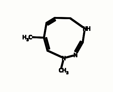 CC1=C/N(C)/N=C\NC/C=C\1